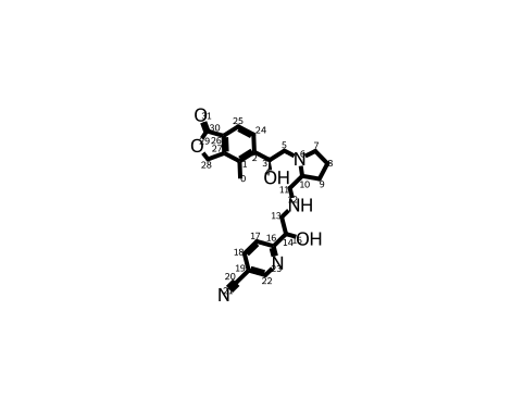 Cc1c([C@H](O)CN2CCCC2CNCC(O)c2ccc(C#N)cn2)ccc2c1COC2=O